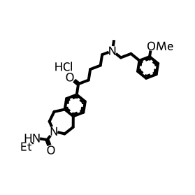 CCNC(=O)N1CCc2ccc(C(=O)CCCCN(C)CCc3ccccc3OC)cc2CC1.Cl